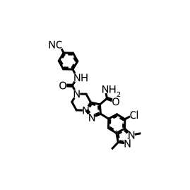 Cc1nn(C)c2c(Cl)cc(-c3nn4c(c3C(N)=O)CN(C(=O)Nc3ccc(C#N)cc3)CC4)cc12